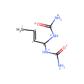 NC(=O)NC(C=C[SiH3])NC(N)=O